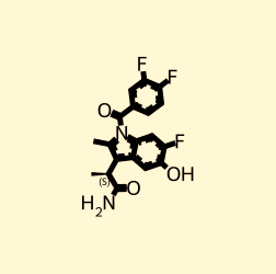 Cc1c([C@H](C)C(N)=O)c2cc(O)c(F)cc2n1C(=O)c1ccc(F)c(F)c1